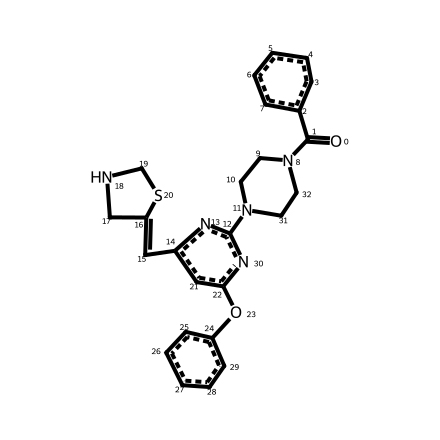 O=C(c1ccccc1)N1CCN(c2nc(C=C3CNCS3)cc(Oc3ccccc3)n2)CC1